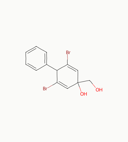 OCC1(O)C=C(Br)C(c2ccccc2)C(Br)=C1